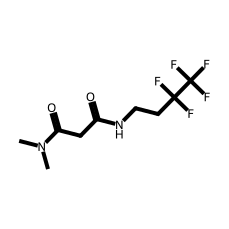 CN(C)C(=O)CC(=O)NCCC(F)(F)C(F)(F)F